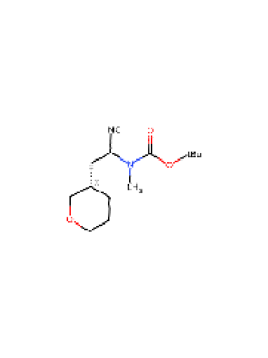 [C-]#[N+]C(C[C@@H]1CCCOC1)N(C)C(=O)OC(C)(C)C